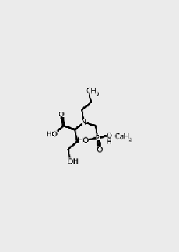 CCCN(CP(=O)(O)O)C(CCO)C(=O)O.[CaH2]